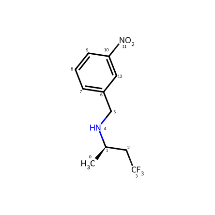 C[C@H](CC(F)(F)F)NCc1cccc([N+](=O)[O-])c1